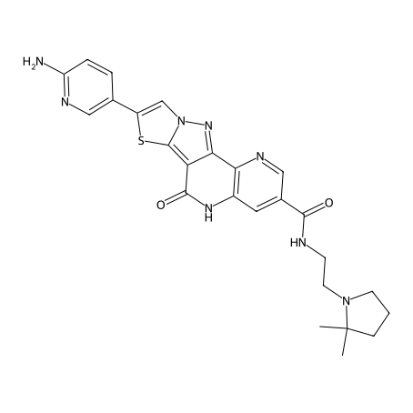 CC1(C)CCCN1CCNC(=O)c1cnc2c(c1)[nH]c(=O)c1c2nn2cc(-c3ccc(N)nc3)sc12